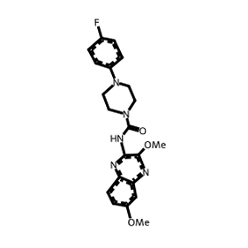 COc1ccc2nc(NC(=O)N3CCN(c4ccc(F)cc4)CC3)c(OC)nc2c1